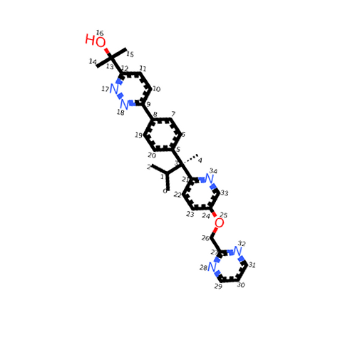 CC(C)[C@@](C)(c1ccc(-c2ccc(C(C)(C)O)nn2)cc1)c1ccc(OCc2ncccn2)cn1